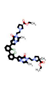 CCOC(=O)[C@H]1CCN(CCn2c(C)cn3cc(-c4cccc(-c5cccc(-c6cc7c(=O)n(CCN8CC[C@](C)(C(=O)OCC)C8)c(C)cn7c6)c5Cl)c4Cl)cc3c2=O)C1